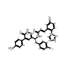 Nc1ccc(-c2cc([C@H](Cc3ccc(F)cc3)NC(=O)/C=C/c3cc(Cl)ccc3-n3cnnn3)n[nH]c2=O)cc1